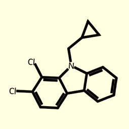 Clc1ccc2c3ccccc3n(CC3CC3)c2c1Cl